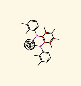 Cc1cccc(P(c2cccc(C)c2C)[C]23[CH]4[CH]5[CH]6[C]2(P(c2cccc(C)c2C)c2cccc(C)c2C)[Zr]54632789[CH]3[CH]2[CH]7[CH]8[CH]39)c1C